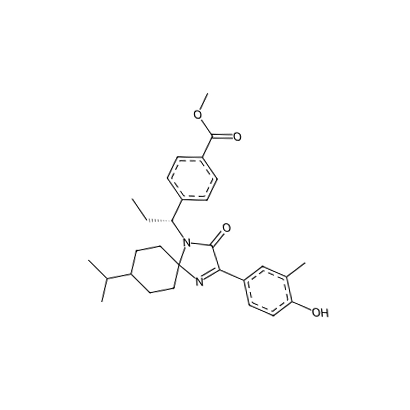 CC[C@H](c1ccc(C(=O)OC)cc1)N1C(=O)C(c2ccc(O)c(C)c2)=NC12CCC(C(C)C)CC2